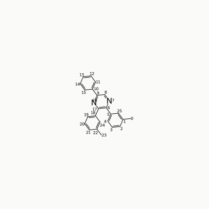 Cc1cccc(-c2ncc(-c3ccccc3)nc2-c2cccc(C)c2)c1